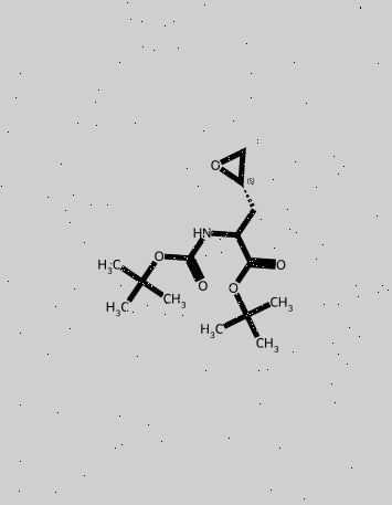 CC(C)(C)OC(=O)NC(C[C@H]1CO1)C(=O)OC(C)(C)C